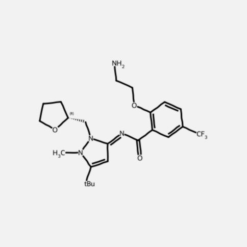 Cn1c(C(C)(C)C)cc(=NC(=O)c2cc(C(F)(F)F)ccc2OCCN)n1C[C@H]1CCCO1